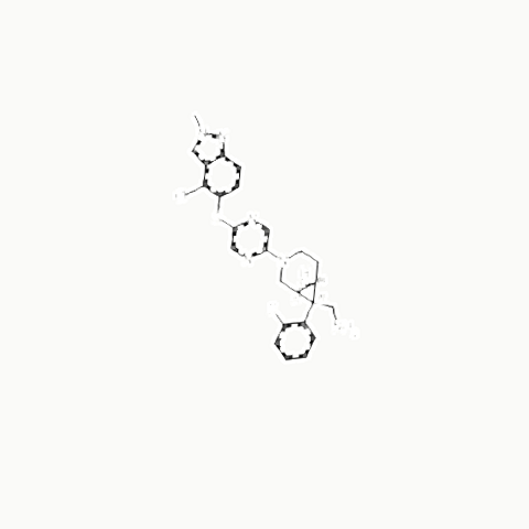 Cn1cc2c(Cl)c(Sc3cnc(N4CC[C@@H]5[C@H](C4)[C@@]5(CN)c4ccccc4F)cn3)ccc2n1